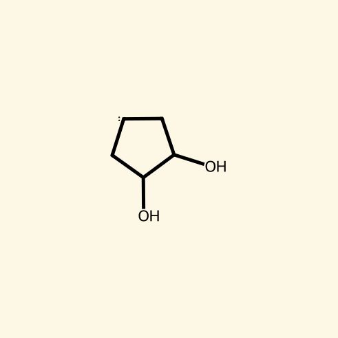 OC1C[C]CC1O